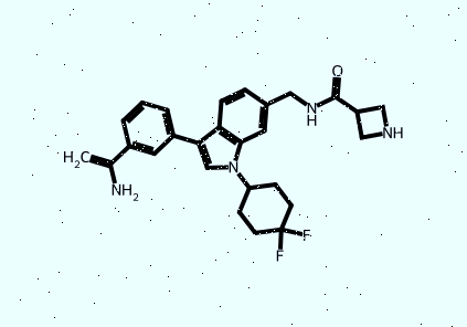 C=C(N)c1cccc(-c2cn(C3CCC(F)(F)CC3)c3cc(CNC(=O)C4CNC4)ccc23)c1